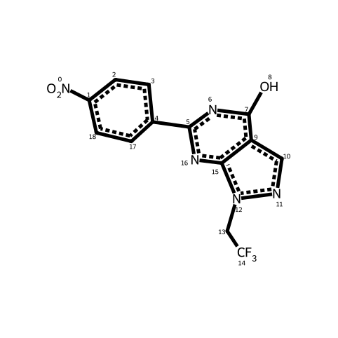 O=[N+]([O-])c1ccc(-c2nc(O)c3cnn(CC(F)(F)F)c3n2)cc1